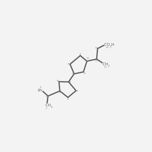 CC(C)C(C)C1CCC(C2CCC(C(C)CC(=O)O)C2)C1